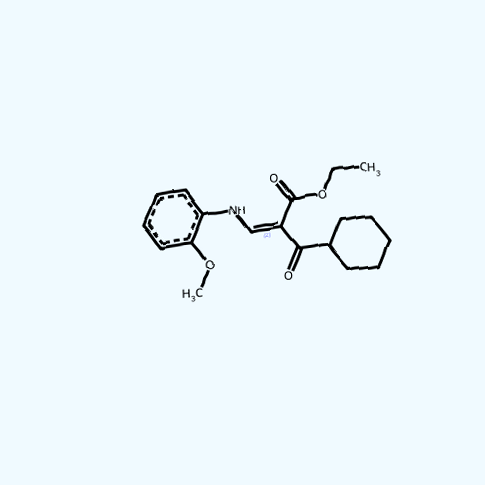 CCOC(=O)/C(=C\Nc1ccccc1OC)C(=O)C1CCCCC1